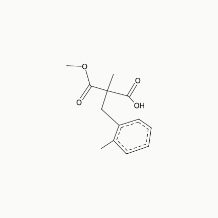 COC(=O)C(C)(Cc1ccccc1C)C(=O)O